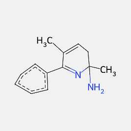 CC1=CCC(C)(N)N=C1c1ccccc1